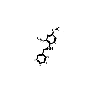 COc1ccc(NCc2ccccc2)c(OC)c1